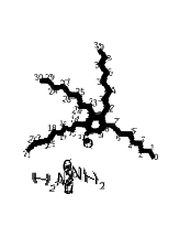 CCCCCCCCc1cc(I=O)c(CCCCCCCC)c(CCCCCCCC)c1CCCCCCCC.NS(N)(=O)=O